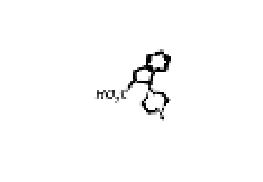 CN1CCN(C2c3ccccc3CC2C(=O)O)CC1